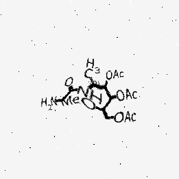 COC(COC(C)=O)C(OC(C)=O)C(OC(C)=O)[C@@H](C)NC(=O)CN